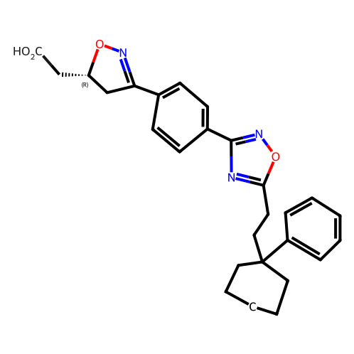 O=C(O)C[C@H]1CC(c2ccc(-c3noc(CCC4(c5ccccc5)CCCCC4)n3)cc2)=NO1